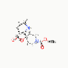 Cc1ccc2c(n1)C1(CCN(C(=O)OC(C)(C)C)CC1)OC2=O